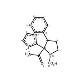 NC(=O)C1(c2nccs2)C(c2cccnc2)CCN1C(=O)O